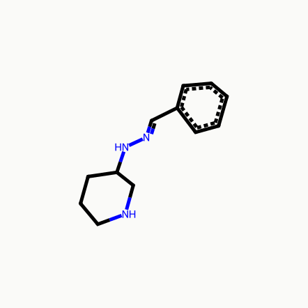 C(=NNC1CCCNC1)c1ccccc1